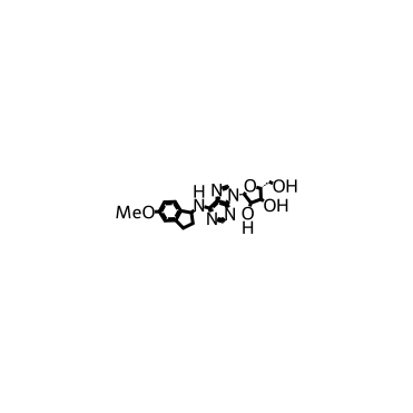 COc1ccc2c(c1)CCC2Nc1ncnc2c1ncn2[C@@H]1O[C@H](CO)C(O)C1O